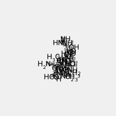 CC(C)C[C@H](NC(=O)[C@H](CC(N)=O)NC(=O)[C@H](CCCCN)NC(=O)[C@H](CC(=O)O)NC(=O)[C@@H](N)CC(C)C)C(=O)N[C@@H](Cc1ccccc1)C(=O)N[C@@H](CCCNC(=N)N)C(=O)O